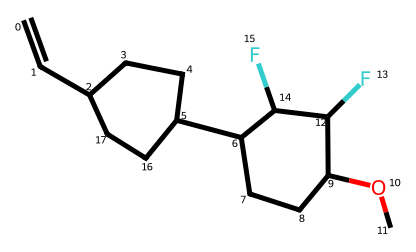 C=CC1CCC(C2CCC(OC)C(F)C2F)CC1